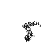 CCOC(=O)COc1cc(Oc2ccc(S(=O)(=O)C(F)(F)F)cc2Cl)ccc1[N+](=O)[O-]